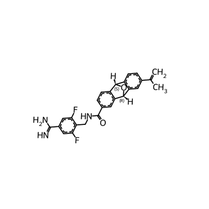 C=C(C)c1ccc2c(c1)[C@H]1O[C@@H]2c2ccc(C(=O)NCc3c(F)cc(C(=N)N)cc3F)cc21